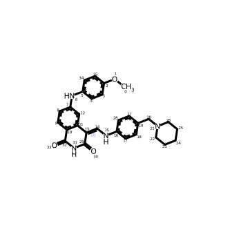 COc1ccc(Nc2ccc3c(c2)/C(=C/Nc2ccc(CN4CCCCC4)cc2)C(=O)NC3=O)cc1